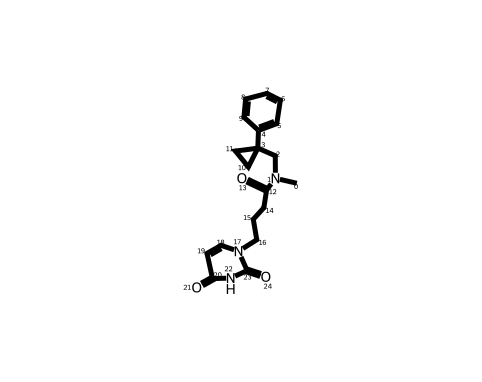 CN(CC1(c2ccccc2)CC1)C(=O)CCCn1ccc(=O)[nH]c1=O